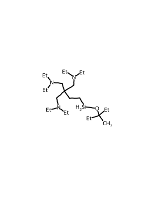 CCN(CC)CC(CC[SiH2]OC(C)(CC)CC)(CN(CC)CC)CN(CC)CC